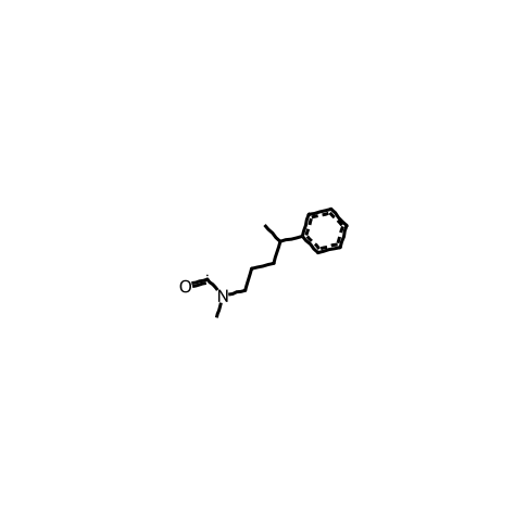 CC(CCCN(C)[C]=O)c1ccccc1